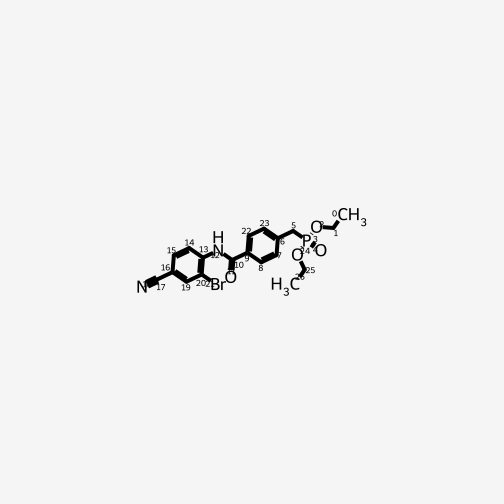 CCOP(=O)(Cc1ccc(C(=O)Nc2ccc(C#N)cc2Br)cc1)OCC